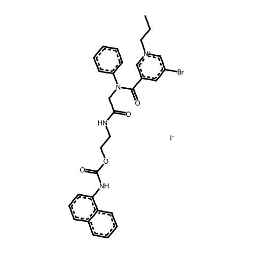 CCC[n+]1cc(Br)cc(C(=O)N(CC(=O)NCCOC(=O)Nc2cccc3ccccc23)c2ccccc2)c1.[I-]